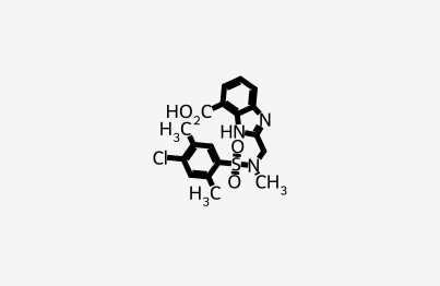 Cc1cc(S(=O)(=O)N(C)Cc2nc3cccc(C(=O)O)c3[nH]2)c(C)cc1Cl